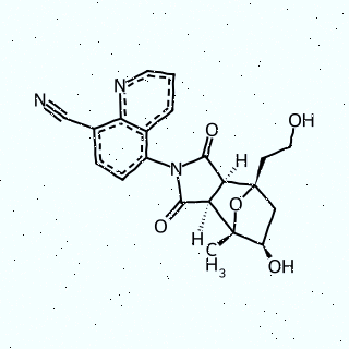 C[C@@]12O[C@@](CCO)(C[C@H]1O)[C@@H]1C(=O)N(c3ccc(C#N)c4ncccc34)C(=O)[C@@H]12